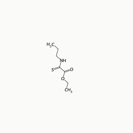 CCCNC(=S)C(=O)OCC